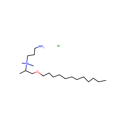 CCCCCCCCCCCCOCC(C)[N+](C)(C)CCCN.[Br-]